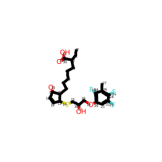 CCC(CCCCCC1C(=O)C=CC1SCC(O)COc1cc(F)c(F)c(C)c1F)C(=O)O